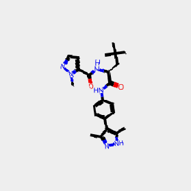 Cc1n[nH]c(C)c1-c1ccc(NC(=O)[C@H](CC(C)(C)C)NC(=O)c2ccnn2C)cc1